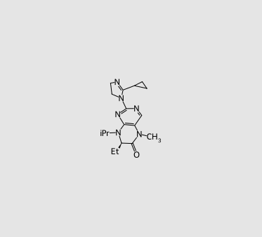 CC[C@@H]1C(=O)N(C)c2cnc(N3CCN=C3C3CC3)nc2N1C(C)C